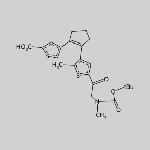 Cc1sc(C(=O)CN(C)C(=O)OC(C)(C)C)cc1C1=C(c2csc(C(=O)O)c2)CCC1